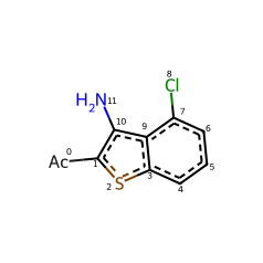 CC(=O)c1sc2cccc(Cl)c2c1N